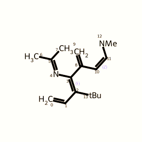 C=C/C(=C(\N=C(C)C)C(=C)/C=C\NC)C(C)(C)C